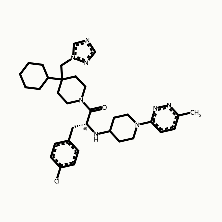 Cc1ccc(N2CCC(N[C@H](Cc3ccc(Cl)cc3)C(=O)N3CCC(Cn4cncn4)(C4CCCCC4)CC3)CC2)nn1